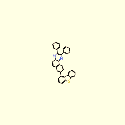 c1ccc(-c2nc3ccc4cc(-c5cccc6sc7ccccc7c56)ccc4c3nc2-c2ccccc2)cc1